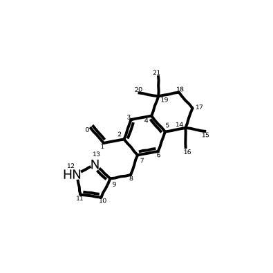 C=Cc1cc2c(cc1Cc1cc[nH]n1)C(C)(C)CCC2(C)C